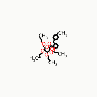 CCCCOC[C@H]1O[C@@](O)(C(=O)c2ccccc2Cc2ccc(CC)cc2)[C@H](OCCCC)[C@@H](OCCCC)[C@@H]1OCCCC